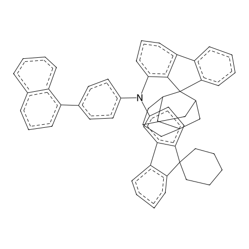 c1ccc2c(c1)-c1cc(N(c3ccc(-c4cccc5ccccc45)cc3)c3cccc4c3C3(c5ccccc5-4)C4CC5CC(C4)CC3C5)ccc1C21CCCCC1